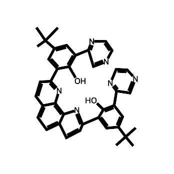 CC(C)(C)c1cc(-c2cnccn2)c(O)c(-c2ccc3ccc4ccc(-c5cc(C(C)(C)C)cc(-c6cnccn6)c5O)nc4c3n2)c1